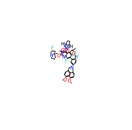 COc1ccc(CN(Cc2ccc(OC)cc2)c2ccc(C(F)(F)F)c(-c3c(F)c4nc(OC[C@@]56CCCN5C[C@H](F)C6)nc(N5C[C@H]6CC[C@@H](C5)N6C(=O)OC(C)(C)C)c4c4cc(C)oc34)c2)cc1